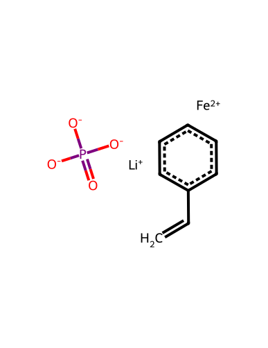 C=Cc1ccccc1.O=P([O-])([O-])[O-].[Fe+2].[Li+]